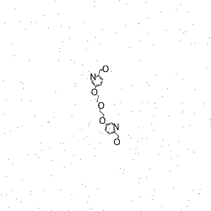 O=Cc1ccc(OCCOCCOc2ccc(C=O)nc2)cn1